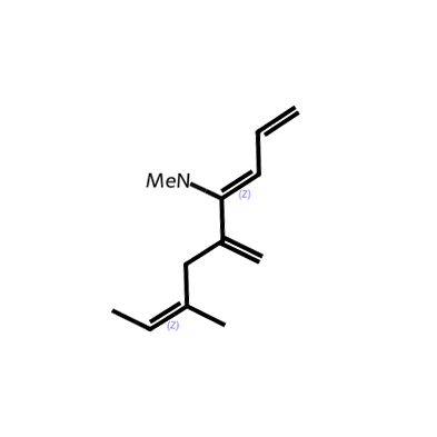 C=C/C=C(\NC)C(=C)C/C(C)=C\C